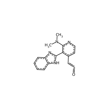 CN(C)c1nccc(C=S=O)c1-c1nc2ccccc2[nH]1